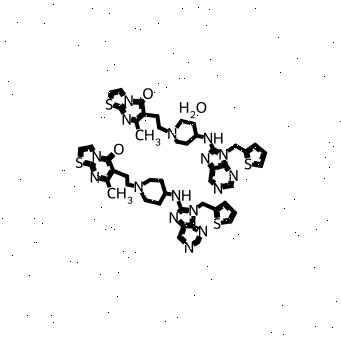 Cc1nc2sccn2c(=O)c1CCN1CCC(Nc2nc3cncnc3n2Cc2cccs2)CC1.Cc1nc2sccn2c(=O)c1CCN1CCC(Nc2nc3cncnc3n2Cc2cccs2)CC1.O